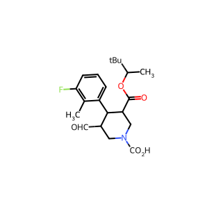 Cc1c(F)cccc1C1C(C=O)CN(C(=O)O)CC1C(=O)OC(C)C(C)(C)C